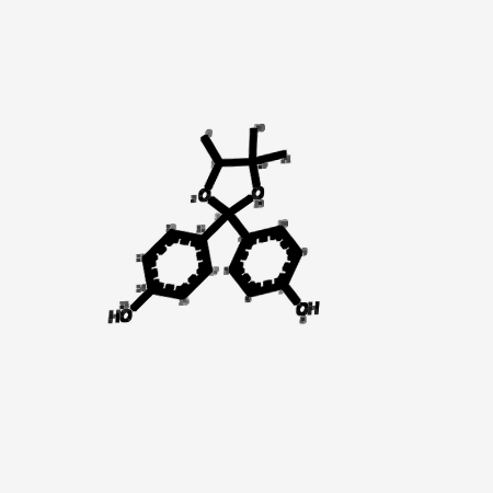 CC1OC(c2ccc(O)cc2)(c2ccc(O)cc2)OC1(C)C